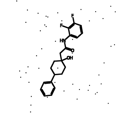 O=C(CC1(O)CCC(c2ccccc2)CC1)Nc1cccc(F)c1F